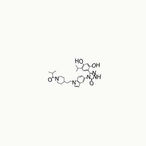 CC(C)C(=O)N1CCC(CCn2ccc3cc(-n4c(-c5cc(C(C)C)c(O)cc5O)n[nH]c4=O)ccc32)CC1